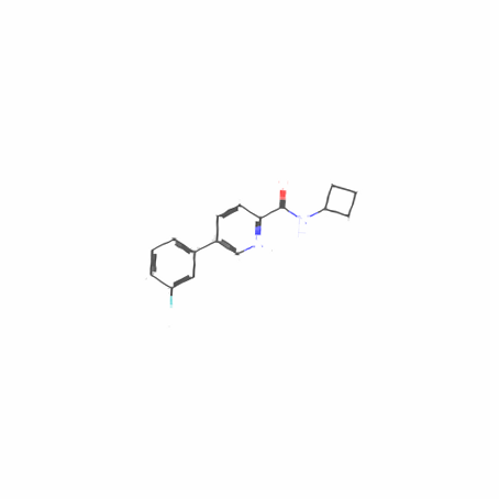 O=C(NC1CCC1)c1ccc(-c2cccc(F)c2)cn1